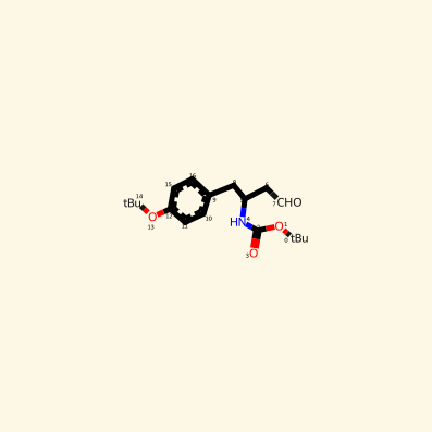 CC(C)(C)OC(=O)NC(CC=O)Cc1ccc(OC(C)(C)C)cc1